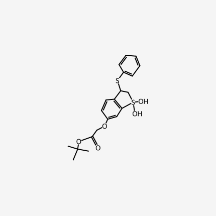 CC(C)(C)OC(=O)COc1ccc2c(c1)S(O)(O)CC2Sc1ccccc1